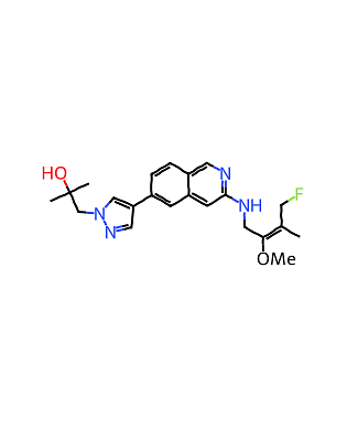 COC(CNc1cc2cc(-c3cnn(CC(C)(C)O)c3)ccc2cn1)=C(C)CF